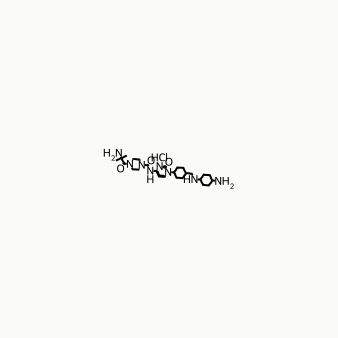 CC(C)(N)C(=O)N1CCN(C(=O)Nc2ccn(C3CCC(CNC4CCC(N)CC4)CC3)c(=O)n2)CC1.Cl